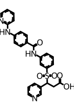 O=C(O)CC(c1cccnc1)S(=O)(=O)c1cccc(NC(=O)c2ccc(Nc3ccccn3)cc2)c1